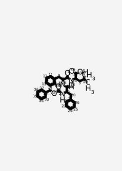 CC(C)CC(NC(=O)C(Cc1ccccc1)NC(=O)C(Cc1ccccc1)NC(=O)OCc1ccccc1)C(=O)O